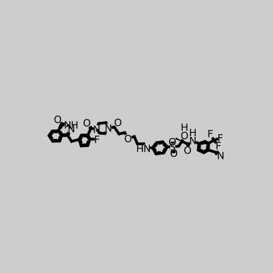 C[C@](O)(CS(=O)(=O)c1ccc(NCCCOCCC(=O)N2CCN(C(=O)c3cc(Cc4n[nH]c(=O)c5ccccc45)ccc3F)CC2)cc1)C(=O)Nc1ccc(C#N)c(C(F)(F)F)c1